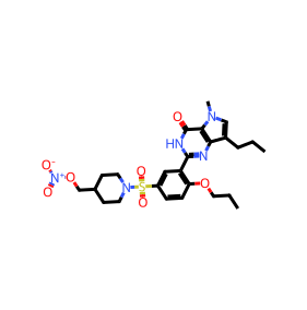 CCCOc1ccc(S(=O)(=O)N2CCC(CO[N+](=O)[O-])CC2)cc1-c1nc2c(CCC)cn(C)c2c(=O)[nH]1